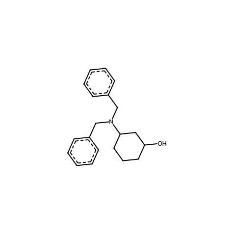 OC1CCCC(N(Cc2ccccc2)Cc2ccccc2)C1